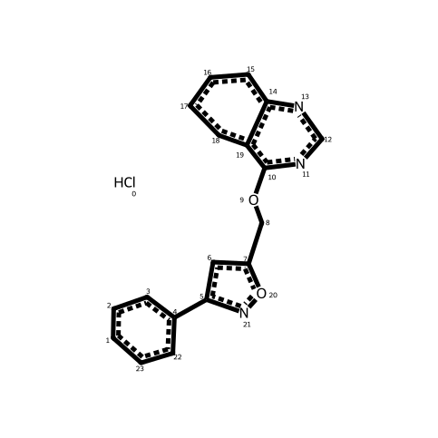 Cl.c1ccc(-c2cc(COc3ncnc4ccccc34)on2)cc1